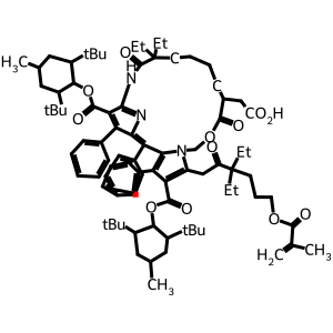 C=C(C)C(=O)OCCCC(CC)(CC)C(=O)Cc1c(C(=O)OC2C(C(C)(C)C)CC(C)CC2C(C)(C)C)c(-c2ccccc2)c2n1COC(=O)C(CC(=O)O)CCCCC(CC)(CC)C(=O)NC1=N/C(=C\2c2ccccc2)C(c2ccccc2)=C1C(=O)OC1C(C(C)(C)C)CC(C)CC1C(C)(C)C